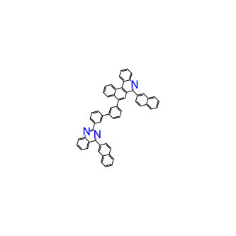 c1cc(-c2cccc(-c3cc4c(-c5ccc6ccccc6c5)nc5ccccc5c4c4ccccc34)c2)cc(-c2nc(-c3ccc4ccccc4c3)c3ccccc3n2)c1